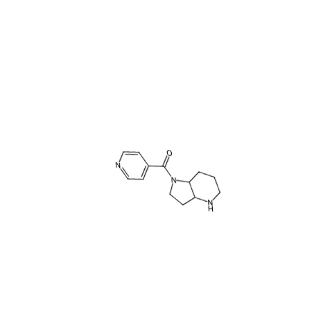 O=C(c1ccncc1)N1CCC2NCCCC21